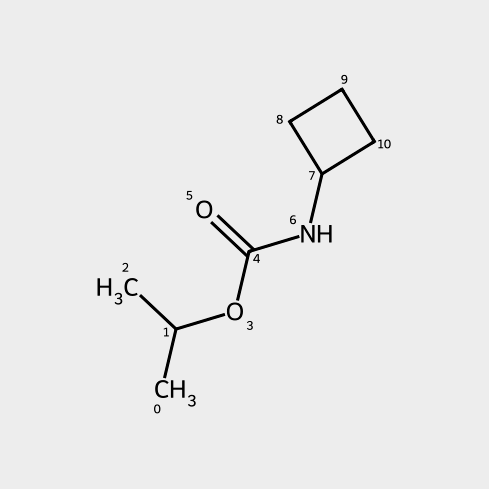 CC(C)OC(=O)NC1CCC1